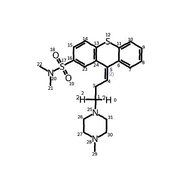 [2H]C([2H])(C/C=C1/c2ccccc2Sc2ccc(S(=O)(=O)N(C)C)cc21)N1CCN(C)CC1